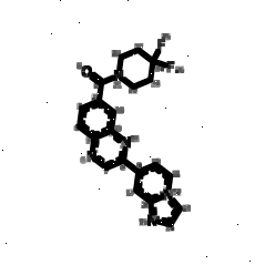 O=C(c1ccc2ncc(-c3ccn4ccnc4c3)nc2c1)N1CCC(F)(F)CC1